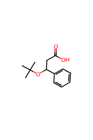 CC(C)(C)OC(CC(=O)O)c1ccccc1